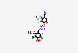 Cc1c(CNCOc2c(F)cc(C#N)c(C)c2F)cc(F)c(O)c1F